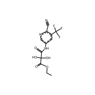 CCOC(=O)C(O)(O)C(=O)Nc1cnc(C#N)c(C(F)(F)F)c1